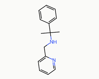 CC(C)(NCc1ccccn1)c1ccccc1